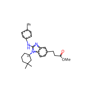 COC(=O)CCc1ccc2c(c1)nc(Nc1ccc(C(C)C)cc1)n2[C@@H]1CCCC(C)(C)C1